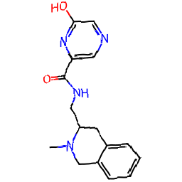 CN1Cc2ccccc2CC1CNC(=O)c1cncc(O)n1